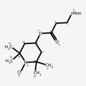 CCCCCCCCCCCC(=O)OC1CC(C)(C)N(Cl)C(C)(C)C1